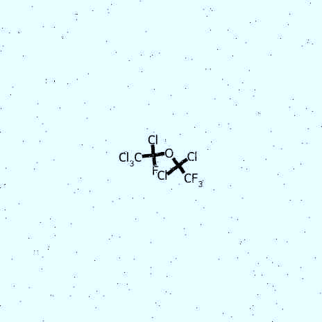 FC(F)(F)C(Cl)(Cl)OC(F)(Cl)C(Cl)(Cl)Cl